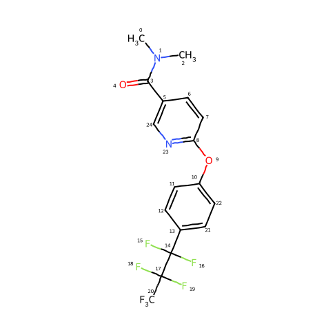 CN(C)C(=O)c1ccc(Oc2ccc(C(F)(F)C(F)(F)C(F)(F)F)cc2)nc1